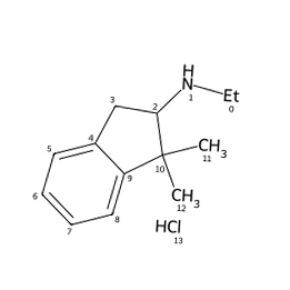 CCNC1Cc2ccccc2C1(C)C.Cl